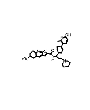 Cc1nc(O)ccc1-c1ccc(C(CCN2CCCCC2)NC(=O)c2cc3cc4c(nc3s2)CC[C@H](C(C)(C)C)C4)cc1